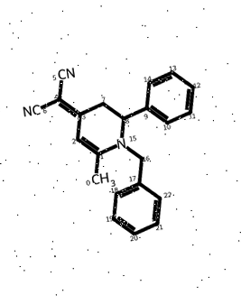 CC1=CC(=C(C#N)C#N)CC(c2ccccc2)N1Cc1ccccc1